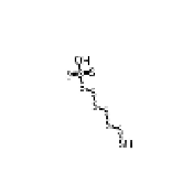 OS(=S)(=S)SSSSSSS